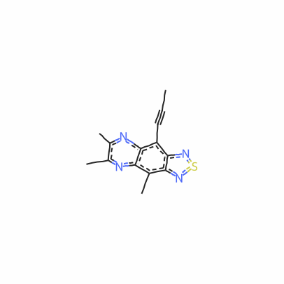 CC#Cc1c2nsnc2c(C)c2nc(C)c(C)nc12